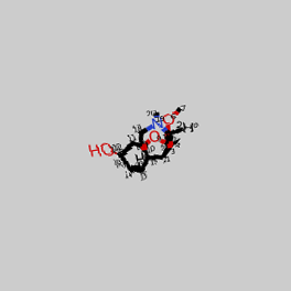 [2H]C1=C2C=CC(OC)=C3O[C@H]4C[C@@H](O)C=C[C@@]4(CCN1C)C23